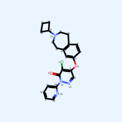 O=c1c(Cl)c(Oc2ccc3c(c2)CCN(C2CCC2)CC3)cnn1-c1ccccn1